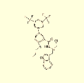 CCCOc1ccc(-c2cc(C(F)(F)F)cc(C(F)(F)F)c2)cc1C(=O)N[C@H](CO)Cc1c[nH]c2ccccc12